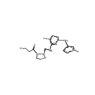 Cn1cc(Nc2ncc(F)c(NC[C@H]3CCCN3C(=O)CCC#N)n2)cn1